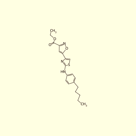 CCCCCc1ccc(Nc2nc(-c3cc(C(=O)OCC)no3)cs2)cc1